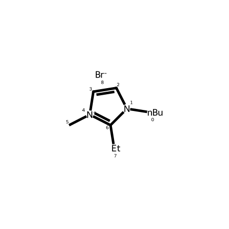 CCCCn1cc[n+](C)c1CC.[Br-]